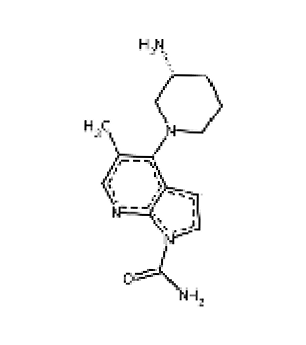 Cc1cnc2c([c]cn2C(N)=O)c1N1CCC[C@@H](N)C1